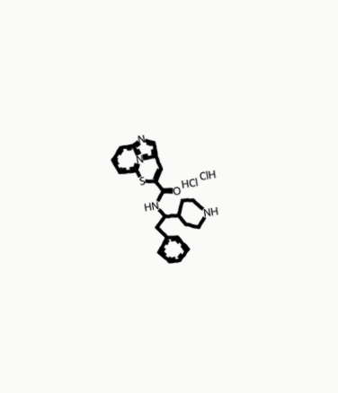 Cl.Cl.O=C(NC(Cc1ccccc1)C1CCNCC1)C1=Cc2cnc3cccc(n23)S1